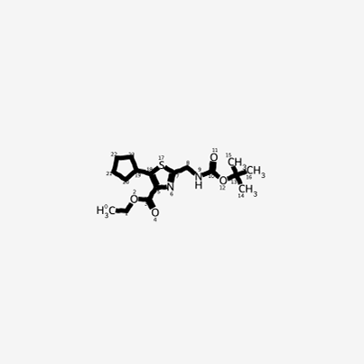 CCOC(=O)c1nc(CNC(=O)OC(C)(C)C)sc1C1CCCC1